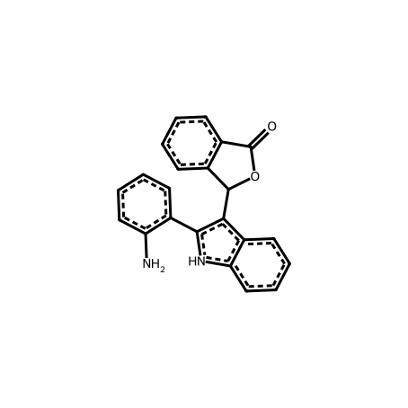 Nc1ccccc1-c1[nH]c2ccccc2c1C1OC(=O)c2ccccc21